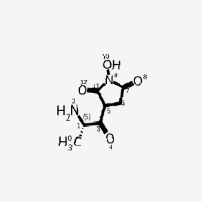 C[C@H](N)C(=O)C1CC(=O)N(O)C1=O